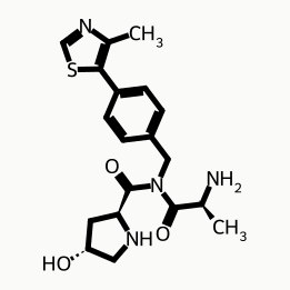 Cc1ncsc1-c1ccc(CN(C(=O)[C@H](C)N)C(=O)[C@@H]2C[C@@H](O)CN2)cc1